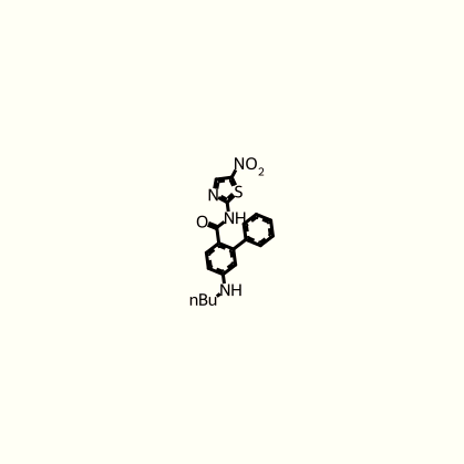 CCCCNc1ccc(C(=O)Nc2ncc([N+](=O)[O-])s2)c(-c2ccccc2)c1